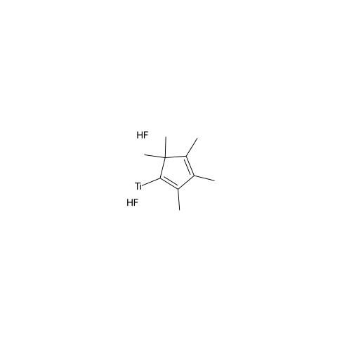 CC1=C(C)C(C)(C)[C]([Ti])=C1C.F.F